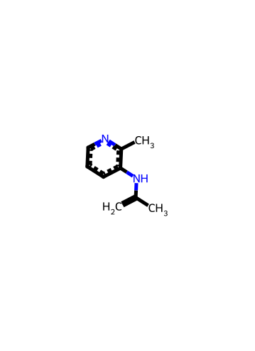 C=C(C)Nc1cccnc1C